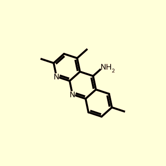 Cc1ccc2nc3nc(C)cc(C)c3c(N)c2c1